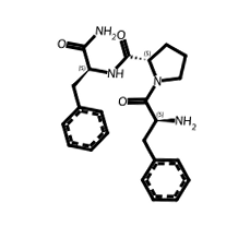 NC(=O)[C@H](Cc1ccccc1)NC(=O)[C@@H]1CCCN1C(=O)[C@@H](N)Cc1ccccc1